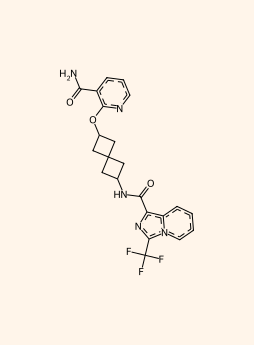 NC(=O)c1cccnc1OC1CC2(CC(NC(=O)c3nc(C(F)(F)F)n4ccccc34)C2)C1